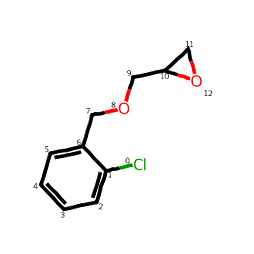 Clc1ccccc1COCC1CO1